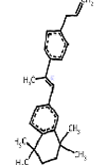 C=CCc1ccc(/C(C)=C/c2ccc3c(c2)C(C)(C)CCC3(C)C)cc1